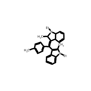 CCN1C(C)C(=C(c2ccc(C)cc2)c2c(C)n(CC)c3ccccc23)C2C=CC=CC21